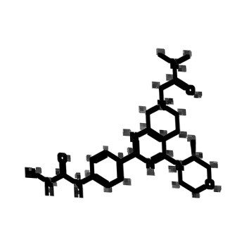 CCNC(=O)Nc1ccc(-c2nc3c(c(N4CCOC[C@@H]4C)n2)CCN(CC(=O)N(C)C)C3)cc1